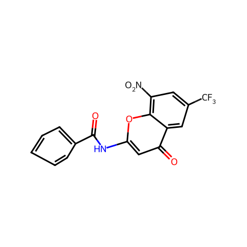 O=C(Nc1cc(=O)c2cc(C(F)(F)F)cc([N+](=O)[O-])c2o1)c1ccccc1